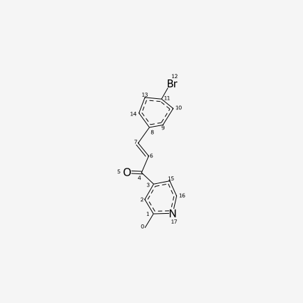 Cc1cc(C(=O)C=Cc2ccc(Br)cc2)ccn1